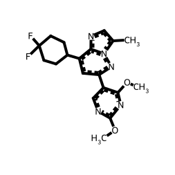 COc1ncc(-c2cc(C3CCC(F)(F)CC3)c3ncc(C)n3n2)c(OC)n1